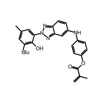 C=C(C)C(=O)Oc1ccc(Nc2ccc3nn(-c4cc(C)cc(C(C)(C)C)c4O)nc3c2)cc1